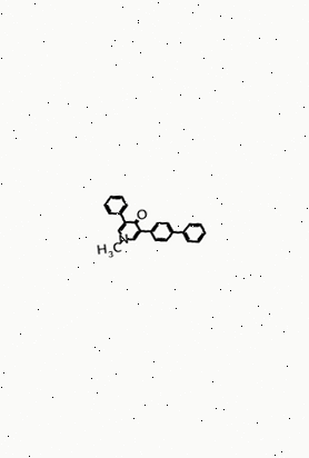 Cn1cc(-c2ccccc2)c(=O)c(-c2ccc(-c3ccccc3)cc2)c1